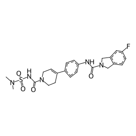 CN(C)S(=O)(=O)NC(=O)N1CC=C(c2ccc(NC(=O)N3Cc4ccc(F)cc4C3)cc2)CC1